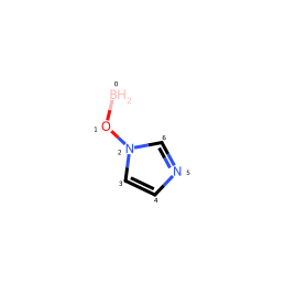 BOn1ccnc1